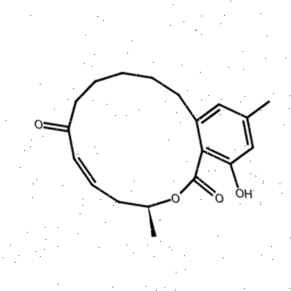 Cc1cc(O)c2c(c1)CCCCCC(=O)/C=C\C[C@H](C)OC2=O